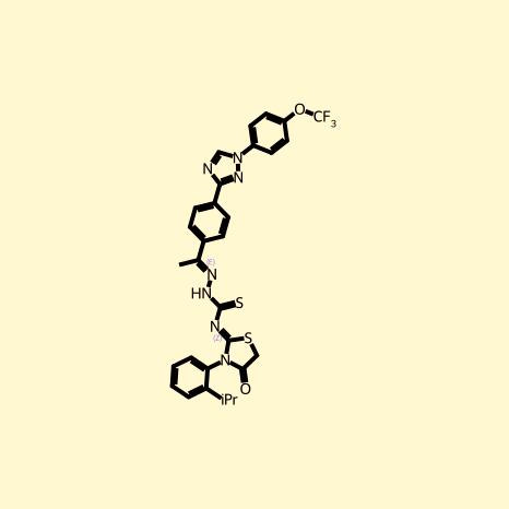 C/C(=N\NC(=S)/N=C1\SCC(=O)N1c1ccccc1C(C)C)c1ccc(-c2ncn(-c3ccc(OC(F)(F)F)cc3)n2)cc1